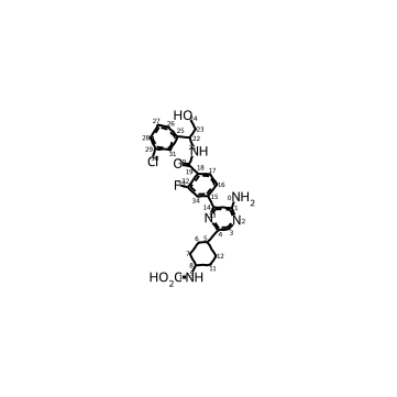 Nc1ncc(C2CCC(NC(=O)O)CC2)nc1-c1ccc(C(=O)NC(CO)c2cccc(Cl)c2)c(F)c1